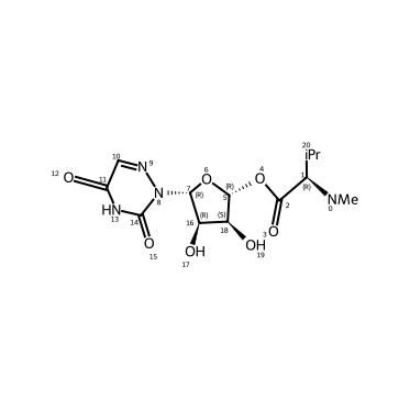 CN[C@@H](C(=O)O[C@H]1O[C@@H](n2ncc(=O)[nH]c2=O)[C@H](O)[C@@H]1O)C(C)C